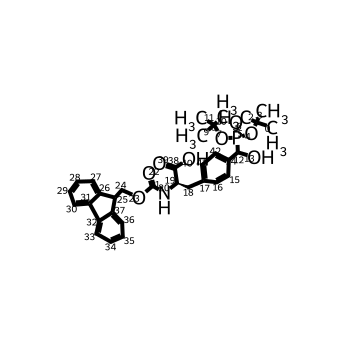 CC(C)(C)OP(=O)(OC(C)(C)C)C(O)c1ccc(C[C@@H](NC(=O)OCC2c3ccccc3-c3ccccc32)C(=O)O)cc1